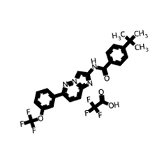 CC(C)(C)c1ccc(C(=O)Nc2cn3nc(-c4cccc(OC(F)(F)F)c4)ccc3n2)cc1.O=C(O)C(F)(F)F